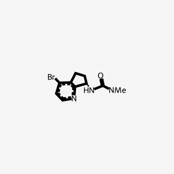 CNC(=O)N[C@H]1CCc2c(Br)ccnc21